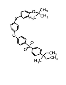 CCC(C)(CC)c1ccc(S(=O)(=O)c2ccc(Oc3ccc(Sc4ccc(OC(C)(C)C)cc4)cc3)cc2)cc1